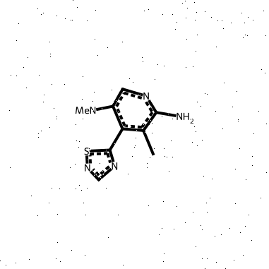 CNc1cnc(N)c(C)c1-c1ncns1